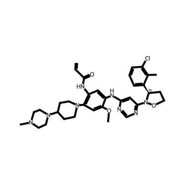 C=CC(=O)Nc1cc(Nc2cc(N3OCC[C@@H]3c3cccc(Cl)c3C)ncn2)c(OC)cc1N1CCC(N2CCN(C)CC2)CC1